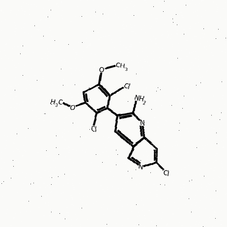 COc1cc(OC)c(Cl)c(-c2cc3cnc(Cl)cc3nc2N)c1Cl